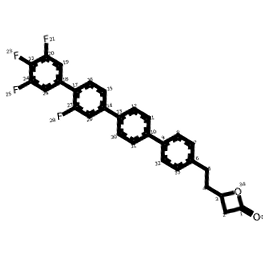 O=C1CC(CCc2ccc(-c3ccc(-c4ccc(-c5cc(F)c(F)c(F)c5)c(F)c4)cc3)cc2)O1